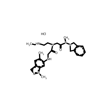 CCNCCN(CC(=O)N(C)N1Cc2ccccc2C1)C(=O)CNc1cc2c(cnn2C)cc1C.Cl